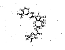 CC(NC(=O)C(=O)N1CC2(COc3c(c(Cl)n(C)c3C(=O)Nc3ccc(F)c(C(F)F)c3)S(=O)(=O)N2)C1)C(F)(F)F